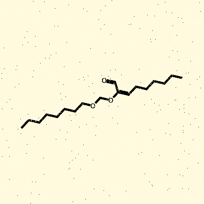 CCCCCC/C=C(\C=O)OCOCCCCCCCC